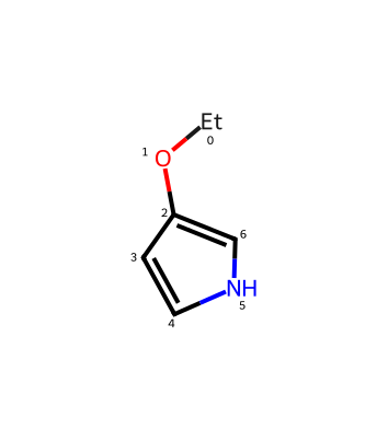 CCOc1cc[nH]c1